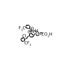 O=C(O)CN1CCN2c3ccc(/C=C/c4c(Cl)cccc4C(F)(F)F)cc3N(S(=O)(=O)c3cccc(C(F)(F)F)c3)C[C@H]2C1